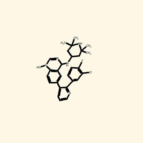 CC1(C)CC(NC2N=CN(O)c3ccc(-c4cccnc4-c4ccc(F)c(Cl)c4)cc32)CC(C)(C)N1